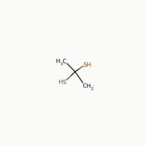 [CH2]C(C)(S)S